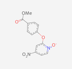 COC(=O)c1ccc(Oc2cc([N+](=O)[O-])cc[n+]2[O-])cc1